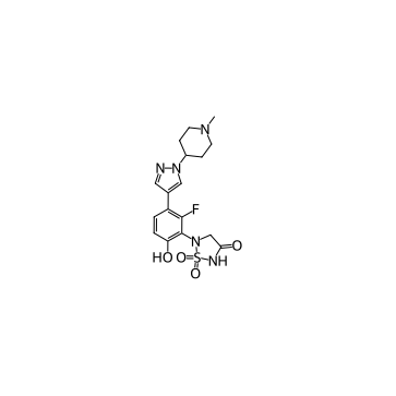 CN1CCC(n2cc(-c3ccc(O)c(N4CC(=O)NS4(=O)=O)c3F)cn2)CC1